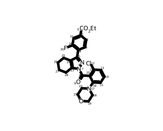 CCOC(=O)c1ccc(-c2nn(C(=O)c3c(Cl)cccc3N3CCOCC3)c3c2CCCC3)c(F)c1